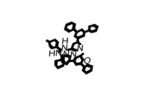 CC1C=CC(C2NC(C3=C(n4c5c(c6ccccc64)C=C4c6ccccc6OC4C5C)N=CC(C4=CC(C5C=CC=CC5)CC(c5ccccc5)C4)C3)=NC(c3ccccc3)N2)=CC1